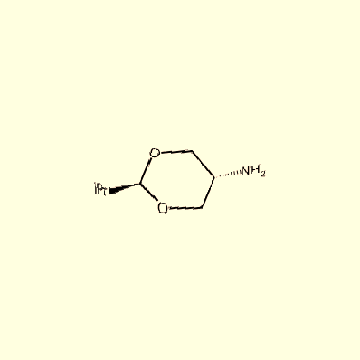 CC(C)[C@H]1OC[C@H](N)CO1